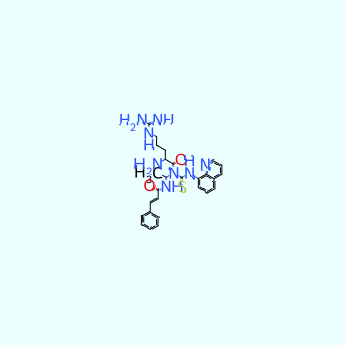 CC(NC(=O)/C=C/c1ccccc1)N(C(=O)[C@@H](N)CCCNC(=N)N)C(=S)Nc1cccc2cccnc12